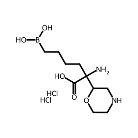 Cl.Cl.NC(CCCCB(O)O)(C(=O)O)C1CNCCO1